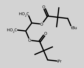 CC(C)CC(C)(C)C(=O)OC(C(=O)O)C(OC(=O)C(C)(C)CC(C)(C)C)C(=O)O